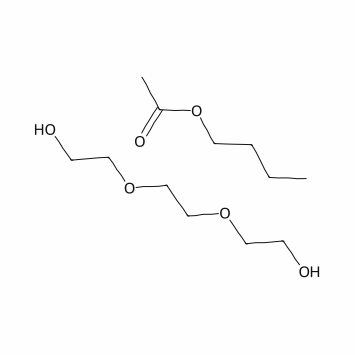 CCCCOC(C)=O.OCCOCCOCCO